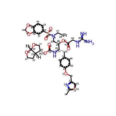 Cc1nc(COc2ccc(C[C@H](NC(=O)O[C@H]3CO[C@H]4OCC[C@H]43)[C@@H](CN(CC(C)C)S(=O)(=O)c3ccc4c(c3)OCO4)OC(=O)CNC(=N)N)cc2)cs1